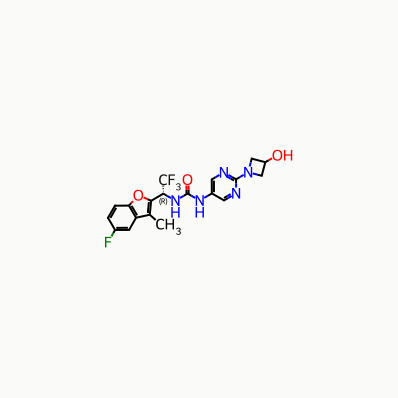 Cc1c([C@@H](NC(=O)Nc2cnc(N3CC(O)C3)nc2)C(F)(F)F)oc2ccc(F)cc12